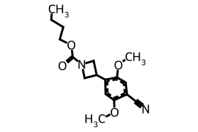 CCCCOC(=O)N1CC(c2cc(OC)c(C#N)cc2OC)C1